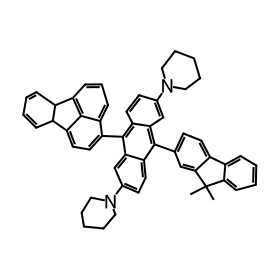 CC1(C)c2ccccc2-c2ccc(-c3c4cc(N5CCCCC5)ccc4c(-c4ccc5c6c(cccc46)C4C=CC=CC54)c4cc(N5CCCCC5)ccc34)cc21